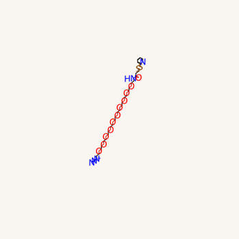 [N-]=[N+]=NCCOCCOCCOCCOCCOCCOCCOCCOCCOCCOCCNC(=O)CCSSc1ccccn1